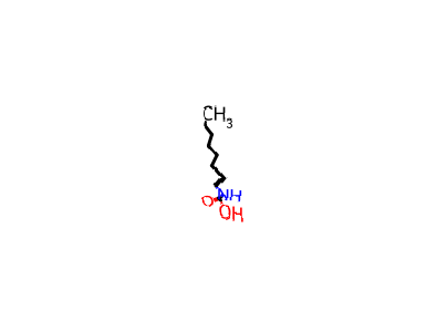 CCCCCC/C=C/NC(=O)O